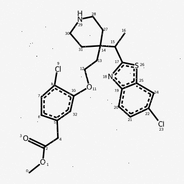 COC(=O)Cc1ccc(Cl)c(OCCC2(C(C)c3nc4ccc(Cl)cc4s3)CCNCC2)c1